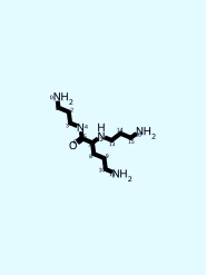 NCCC[N]C(=O)C(CCCN)NCCCN